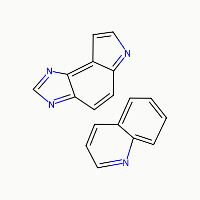 C1=Cc2c3c(ccc2=N1)=NC=N3.c1ccc2ncccc2c1